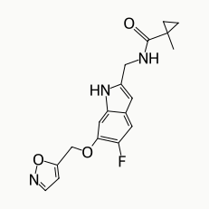 CC1(C(=O)NCc2cc3cc(F)c(OCc4ccno4)cc3[nH]2)CC1